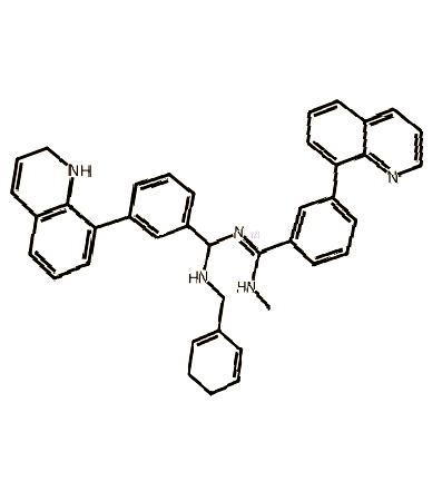 CN/C(=N\C(NCC1=CCCC=C1)c1cccc(-c2cccc3c2NCC=C3)c1)c1cccc(-c2cccc3cccnc23)c1